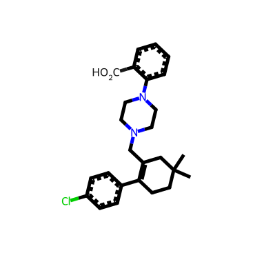 CC1(C)CCC(c2ccc(Cl)cc2)=C(CN2CCN(c3ccccc3C(=O)O)CC2)C1